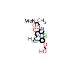 CNC(=O)[C@H](C)COc1ncc(Cl)c2c1c(=O)cc(C)n2-c1c(Cl)cc(OCCO)cc1Cl